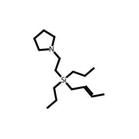 CC=CC[Si](CCC)(CCC)CCN1CCCC1